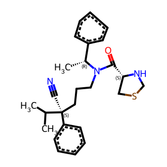 CC(C)[C@@](C#N)(CCCN(C(=O)[C@H]1CSCN1)[C@H](C)c1ccccc1)c1ccccc1